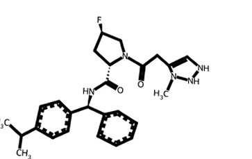 CC(C)c1ccc([C@@H](NC(=O)[C@@H]2C[C@@H](F)CN2C(=O)CC2=CNNN2C)c2ccccc2)cc1